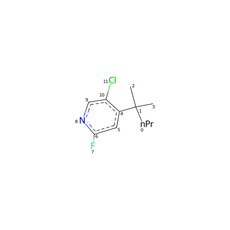 CCCC(C)(C)c1cc(F)ncc1Cl